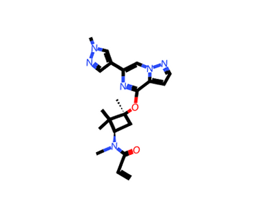 C=CC(=O)N(C)[C@@H]1C[C@](C)(Oc2nc(-c3cnn(C)c3)cn3nccc23)C1(C)C